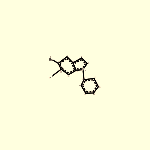 Brc1cc2ccn(-c3ccccc3)c2cc1I